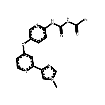 Cn1cnc(-c2cc(Oc3ccc(NC(=O)NC(=O)C(C)(C)C)nc3)ccn2)c1